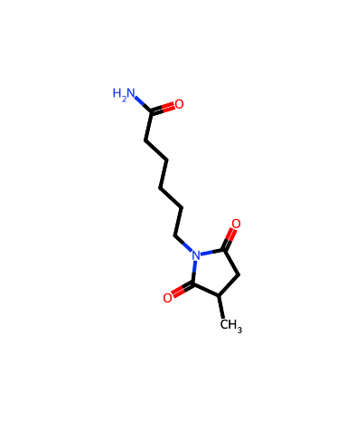 CC1CC(=O)N(CCCCCC(N)=O)C1=O